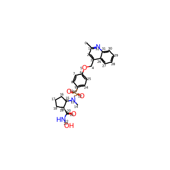 Cc1cc(COc2ccc(S(=O)(=O)N(C)[C@@H]3CCC[C@@H]3C(=O)NO)cc2)c2ccccc2n1